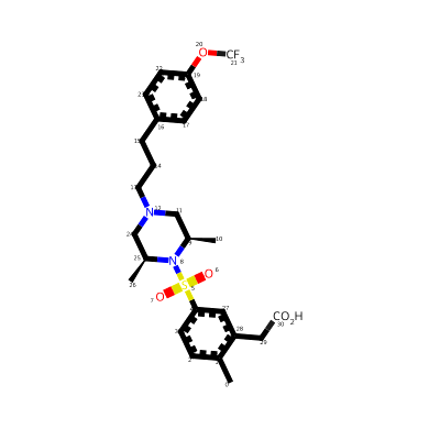 Cc1ccc(S(=O)(=O)N2[C@H](C)CN(CCCc3ccc(OC(F)(F)F)cc3)C[C@@H]2C)cc1CC(=O)O